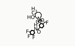 CC1CCCCN(S(=O)(=O)c2cc(C(=O)Nc3cc(F)c(F)c(F)c3)ccc2CF)CC1O